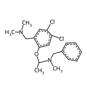 CC(Oc1cc(Cl)c(Cl)cc1CN(C)C)N(C)Cc1ccccc1